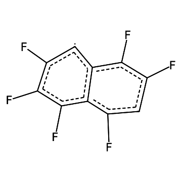 Fc1[c]c2c(F)c(F)cc(F)c2c(F)c1F